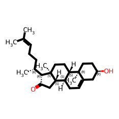 CC(C)=CCC[C@@H](C)[C@H]1C(=O)C[C@H]2[C@@H]3CC=C4C[C@H](O)CC[C@]4(C)[C@H]3CC[C@]12C